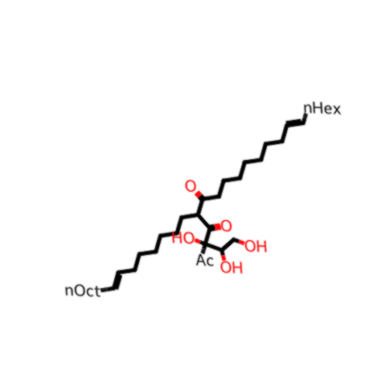 CCCCCCC=CCCCCCCCC(=O)C(CCCCCCC=CCCCCCCCC)C(=O)C(O)(C(C)=O)C(O)CO